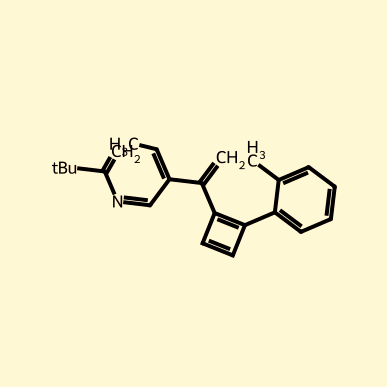 C=C(C1=C(c2ccccc2C)C=C1)C(/C=N\C(=C)C(C)(C)C)=C/C